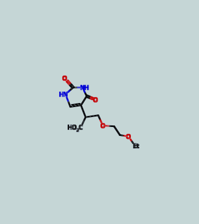 CCOCCOCC(C(=O)O)c1c[nH]c(=O)[nH]c1=O